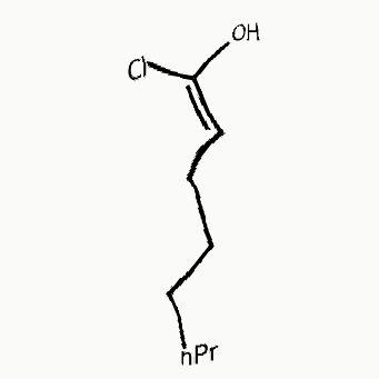 CCCCCCC=C(O)Cl